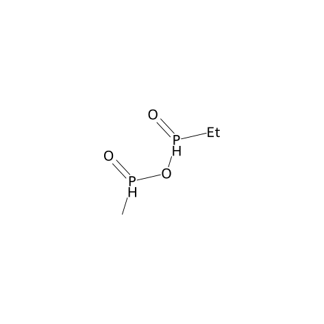 CC[PH](=O)O[PH](C)=O